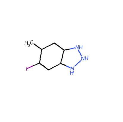 CC1CC2NNNC2CC1I